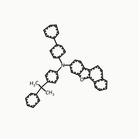 CC(C)(c1ccccc1)c1ccc(N(c2ccc(-c3ccccc3)cc2)c2ccc3c(c2)oc2c4ccccc4ccc32)cc1